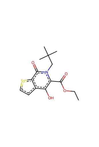 CCOC(=O)c1c(O)c2ccsc2c(=O)n1CC(C)(C)C